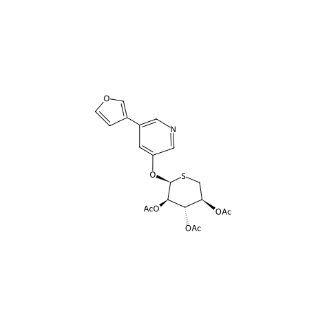 CC(=O)O[C@@H]1[C@@H](OC(C)=O)[C@@H](Oc2cncc(-c3ccoc3)c2)SC[C@H]1OC(C)=O